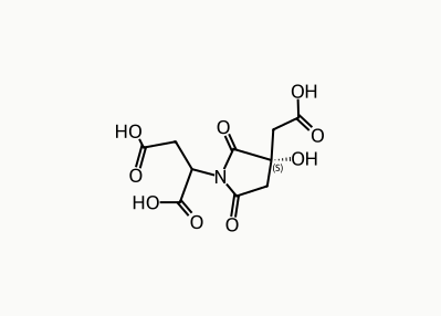 O=C(O)CC(C(=O)O)N1C(=O)C[C@](O)(CC(=O)O)C1=O